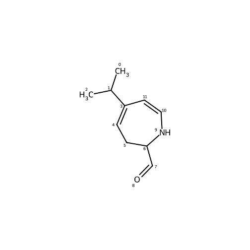 CC(C)C1=CCC(C=O)NC=C1